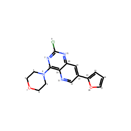 Clc1nc(N2CCOCC2)c2ncc(-c3ccco3)cc2n1